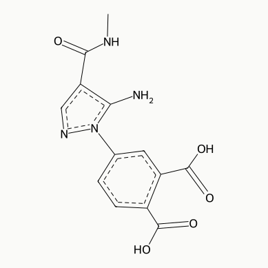 CNC(=O)c1cnn(-c2ccc(C(=O)O)c(C(=O)O)c2)c1N